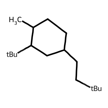 CC1CCC(CCC(C)(C)C)CC1C(C)(C)C